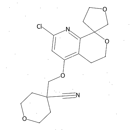 N#CC1(COc2cc(Cl)nc3c2CCOC32CCOC2)CCOCC1